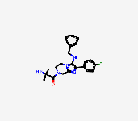 CC(C)(N)C(=O)N1CCn2c(nc(-c3ccc(F)cc3)c2NCc2ccccc2)C1